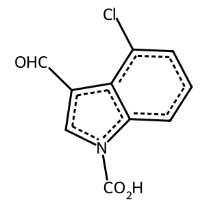 O=Cc1cn(C(=O)O)c2cccc(Cl)c12